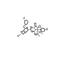 CC1(c2ccc(F)cc2)C(=O)NC2N=C(c3cn4cc(C5CC5)nc4c(Oc4cccc(F)c4)n3)N=C(N)C21